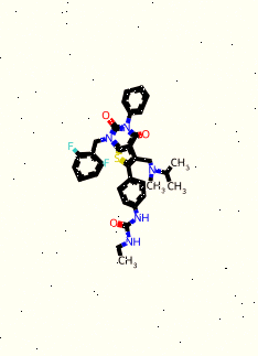 CCNC(=O)Nc1ccc(-c2sc3c(c2CN(C)C(C)C)c(=O)n(-c2ccccc2)c(=O)n3Cc2c(F)cccc2F)cc1